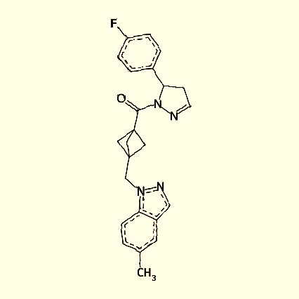 Cc1ccc2c(cnn2CC23CC(C(=O)N4N=CCC4c4ccc(F)cc4)(C2)C3)c1